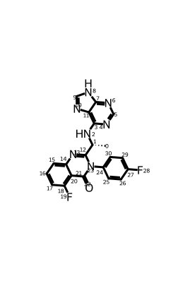 C[C@@H](Nc1ncnc2[nH]cnc12)c1nc2cccc(F)c2c(=O)n1-c1ccc(F)cc1